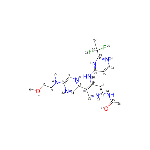 COCCN(C)c1cnc(-c2cnc(NC(C)=O)cc2Nc2ccnc(C(C)(F)F)n2)cn1